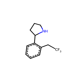 FC(F)(F)Cc1ccccc1C1CCCN1